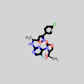 C[C@H](Nc1ncc(F)c(N2C(=O)OCC2[C@@H](C)O)n1)c1cc(-c2ccc(Cl)cc2)no1